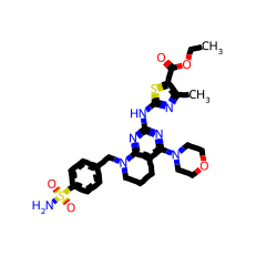 CCOC(=O)c1sc(Nc2nc(N3CCOCC3)c3c(n2)N(Cc2ccc(S(N)(=O)=O)cc2)CCC3)nc1C